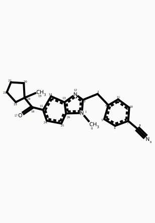 Cn1c(Cc2ccc(C#N)cc2)nc2cc(C(=O)C3(C)CCCC3)ccc21